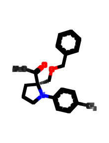 COC(=O)[C@]1(COCc2ccccc2)CCCN1c1ccc(C(F)(F)F)cc1